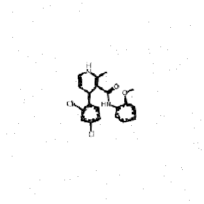 COc1ccccc1NC(=O)C1=C(C)NC=CC1c1ccc(Cl)cc1Cl